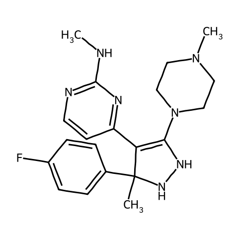 CNc1nccc(C2=C(N3CCN(C)CC3)NNC2(C)c2ccc(F)cc2)n1